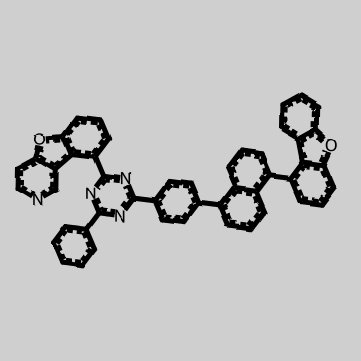 c1ccc(-c2nc(-c3ccc(-c4cccc5c(-c6cccc7oc8ccccc8c67)cccc45)cc3)nc(-c3cccc4oc5ccncc5c34)n2)cc1